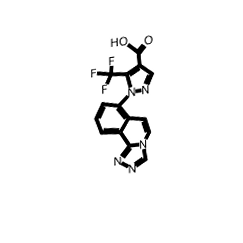 O=C(O)c1cnn(-c2cccc3c2ccn2cnnc32)c1C(F)(F)F